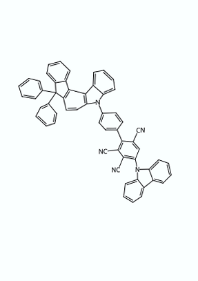 N#Cc1cc(-n2c3ccccc3c3ccccc32)c(C#N)c(C#N)c1-c1ccc(-n2c3ccccc3c3c4c(ccc32)C(c2ccccc2)(c2ccccc2)c2ccccc2-4)cc1